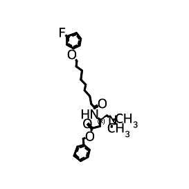 CN(C)C[C@@H](CC(=O)OCc1ccccc1)NC(=O)CCCCCCCCOc1cccc(F)c1